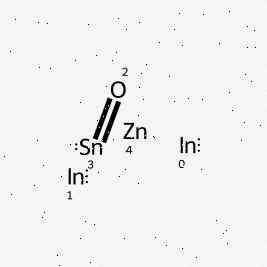 [In].[In].[O]=[Sn].[Zn]